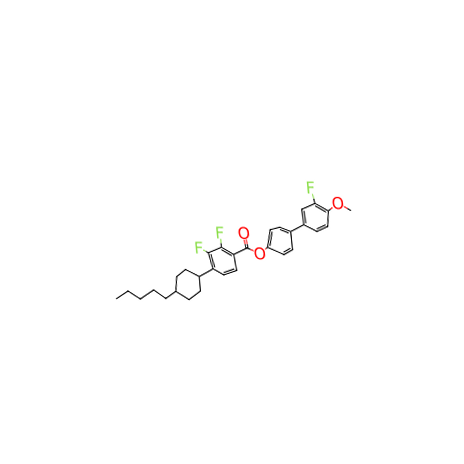 CCCCCC1CCC(c2ccc(C(=O)Oc3ccc(-c4ccc(OC)c(F)c4)cc3)c(F)c2F)CC1